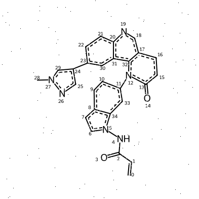 C=CC(=O)Nn1ccc2ccc(-n3c(=O)ccc4cnc5ccc(-c6cnn(C)c6)cc5c43)cc21